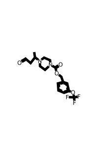 CC(C[C]=O)N1CCN(C(=O)OCc2cccc(OC(F)(F)F)c2)CC1